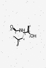 C=C(O)[C@H](CC(C)C)NC=O